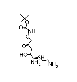 CC(C)(C)OC(=O)NOCC(=O)CC(O)C(N)=[SH]CCN